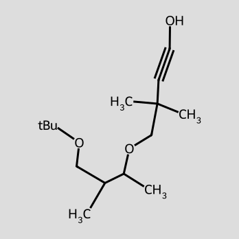 CC(COC(C)(C)C)C(C)OCC(C)(C)C#CO